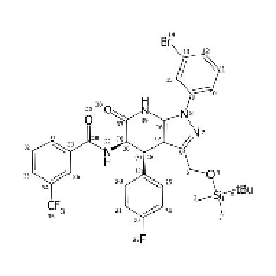 CC(C)(C)[Si](C)(C)OCc1nn(-c2cccc(Br)c2)c2c1[C@@H](c1ccc(F)cc1)[C@@H](NC(=O)c1cccc(C(F)(F)F)c1)C(=O)N2